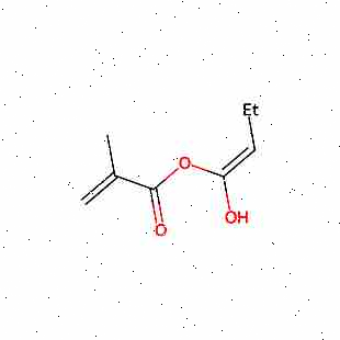 C=C(C)C(=O)OC(O)=CCC